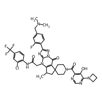 CC1CC2(CCN(C(=O)c3ncnc(N4CCC4)c3O)CC2)c2c1n(CC(=O)Nc1ccc(C(F)(F)F)cc1Cl)c1nc(-c3ccc(CN(C)C)cc3F)nn1c2=O